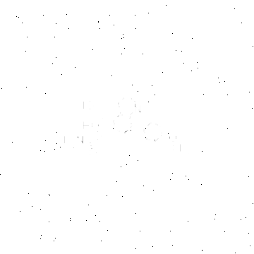 NC(=O)OCc1cc(-c2ccc(OC(F)(F)F)cc2)c2ncccc2c1C(O)CO